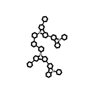 c1ccc(-c2ccc3c(c2)c2cc(-c4ccc5c(c4)c4ccccc4n5-c4ccccc4)ccc2n3-c2cccc(-c3cccc(-c4cccc(-n5c6ccc(-c7ccccc7)cc6c6cc(-c7ccc8c(c7)c7ccccc7n8-c7ccccc7)ccc65)c4)c3)c2)cc1